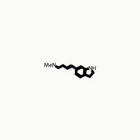 CNCC/C=C/c1ccc2c(c1)NCC2